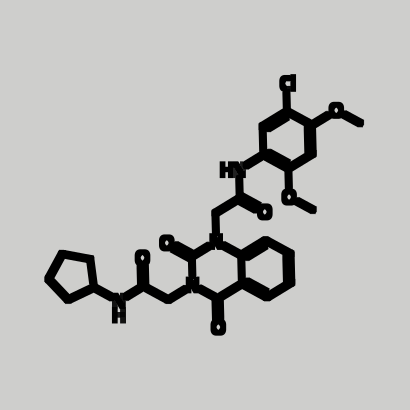 COc1cc(OC)c(NC(=O)Cn2c(=O)n(CC(=O)NC3CCCC3)c(=O)c3ccccc32)cc1Cl